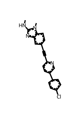 CNc1nc2cc(C#Cc3ccc(-c4ccc(Cl)cc4)cn3)ccc2n1C